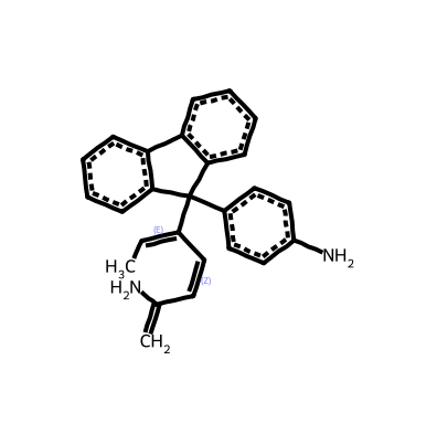 C=C(N)/C=C\C(=C/C)C1(c2ccc(N)cc2)c2ccccc2-c2ccccc21